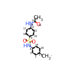 [CH2]c1ccc(NS(=O)(=O)c2ccc(NC(C)=O)cc2)cc1